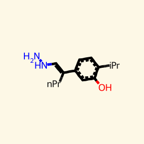 CCC/C(=C\NN)c1ccc(C(C)C)c(O)c1